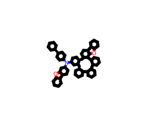 c1ccc(-c2ccc(N(c3ccc4c(c3)oc3ccccc34)c3ccc4c(c3)c3ccccc3c3ccccc3c3ccccc3c3c4ccc4c5ccccc5oc43)cc2)cc1